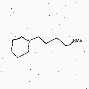 CNCCCCN1CCCCC1